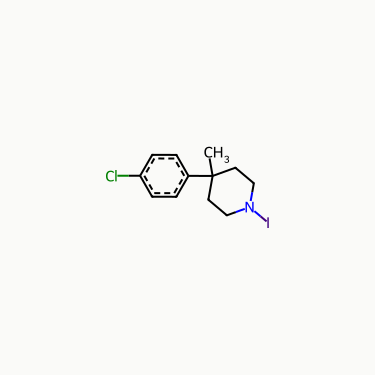 CC1(c2ccc(Cl)cc2)CCN(I)CC1